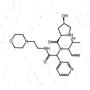 C=CC([C@H](C)C(C)C)N(C(=O)[C@H]1C[C@@H](O)CN1)C(C(=O)NCCN1CCOCC1)c1cccnc1